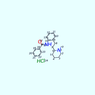 CN1CCCCC1CCc1ccccc1NC(=O)c1ccccc1.Cl